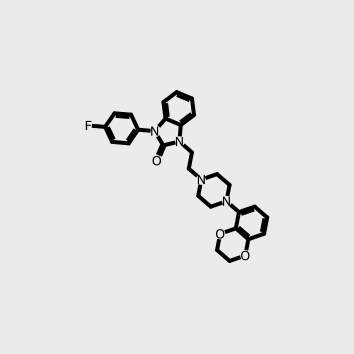 O=c1n(CCN2CCN(c3cccc4c3OCCO4)CC2)c2ccccc2n1-c1ccc(F)cc1